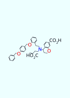 O=C(O)CCCCN(CCc1ccccc1OCc1ccc(OCc2ccccc2)cc1)C1CCOc2cc(C(=O)O)ccc21